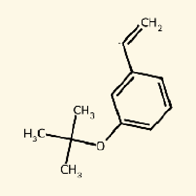 C=[C]c1cccc(OC(C)(C)C)c1